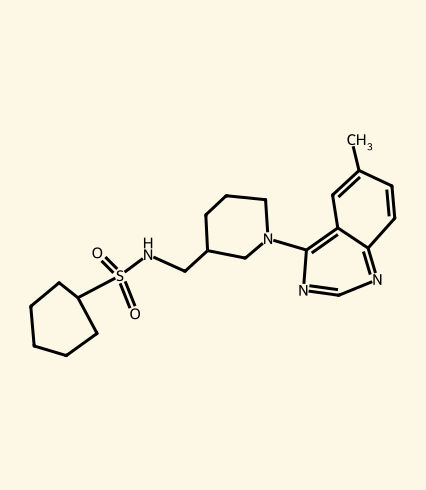 Cc1ccc2ncnc(N3CCCC(CNS(=O)(=O)C4CCCCC4)C3)c2c1